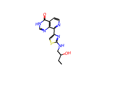 CCC(O)CNc1nc(-c2nccc3c(=O)[nH]cnc23)cs1